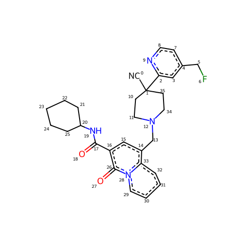 N#CC1(c2cc(CF)ccn2)CCN(Cc2cc(C(=O)NC3CCCCC3)c(=O)n3ccccc23)CC1